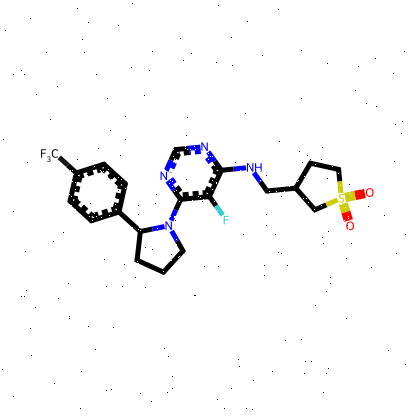 O=S1(=O)CCC(CNc2ncnc(N3CCCC3c3ccc(C(F)(F)F)cc3)c2F)C1